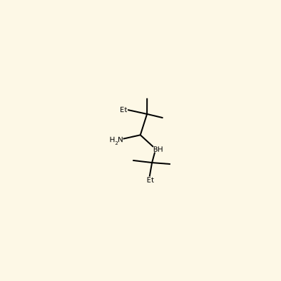 CCC(C)(C)BC(N)C(C)(C)CC